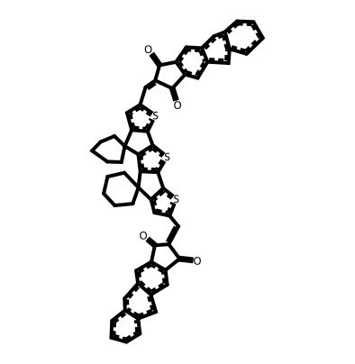 O=C1C(=Cc2cc3c(s2)-c2sc4c(c2C32CCCCC2)C2(CCCCC2)c2cc(C=C3C(=O)c5cc6cc7ccccc7cc6cc5C3=O)sc2-4)C(=O)c2cc3cc4ccccc4cc3cc21